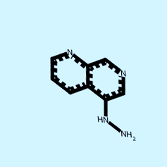 NNc1cncc2ncccc12